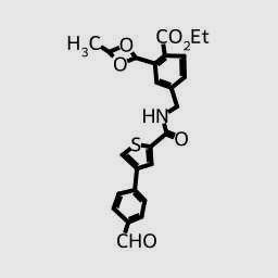 CCOC(=O)c1ccc(CNC(=O)c2cc(-c3ccc(C=O)cc3)cs2)cc1C1OC(C)O1